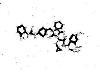 COc1ccc([C@H](CC(=O)O)NC(=O)[C@H](CC2CC2)N2C(=O)N(Cc3ccc(NC(=O)Nc4ccccc4C)cc3)C3(CCCCC3)C2=O)c(OC)c1